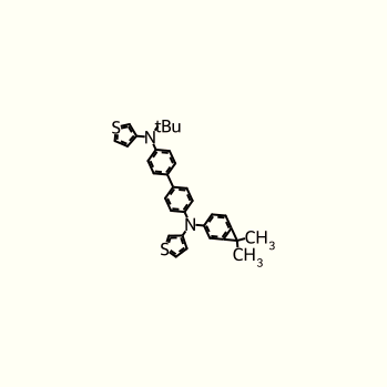 CC1(C)c2ccc(N(c3ccc(-c4ccc(N(c5ccsc5)C(C)(C)C)cc4)cc3)c3ccsc3)cc21